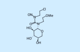 COCCN(C(=O)N(CCCl)N=O)[C@@H]1OC[C@@H](O)[C@H](O)[C@H]1O